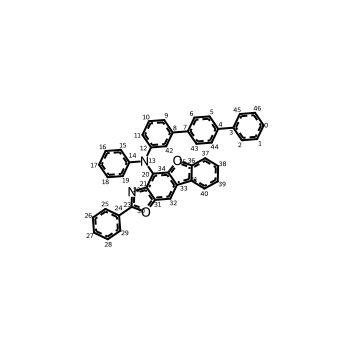 c1ccc(-c2ccc(-c3cccc(N(c4ccccc4)c4c5nc(-c6ccccc6)oc5cc5c4oc4ccccc45)c3)cc2)cc1